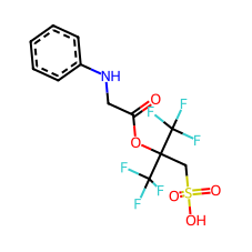 O=C(CNc1ccccc1)OC(CS(=O)(=O)O)(C(F)(F)F)C(F)(F)F